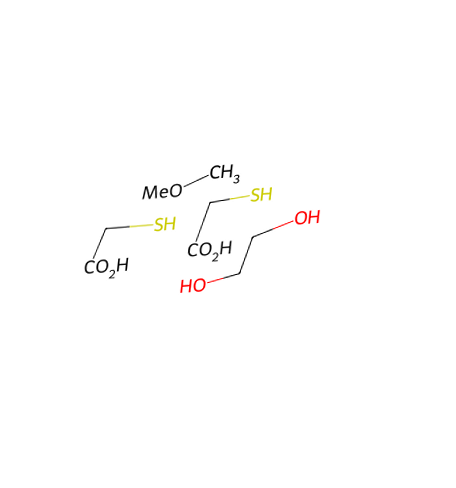 COC.O=C(O)CS.O=C(O)CS.OCCO